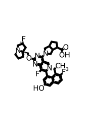 CCc1c(F)ccc2cc(O)cc(-c3ncc4c(N5CC6CCC(C(=O)O)C6C5)nc(OC[C@@]56CCCN5C[C@H](F)C6)nc4c3F)c12